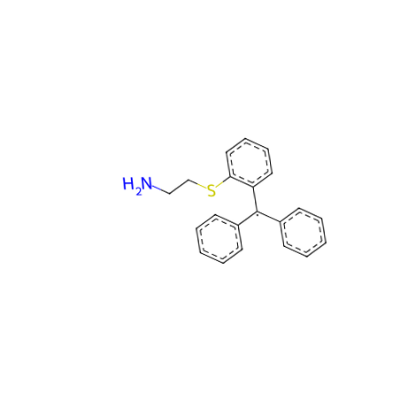 NCCSc1ccccc1[C](c1ccccc1)c1ccccc1